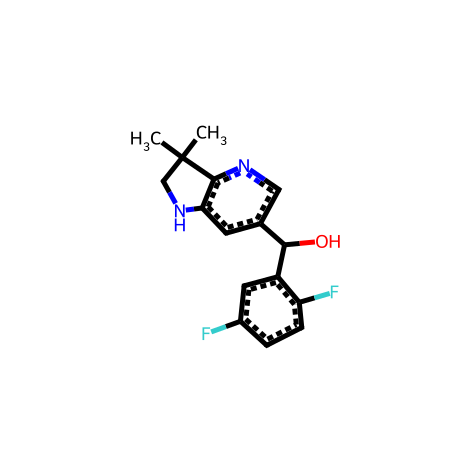 CC1(C)CNc2cc(C(O)c3cc(F)ccc3F)cnc21